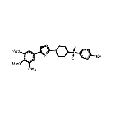 COc1cc(-c2csc(N3CCC(S(=O)(=O)c4ccc(C(C)(C)C)cc4)CC3)n2)cc(OC)c1OC